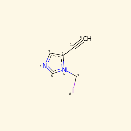 C#Cc1cncn1CI